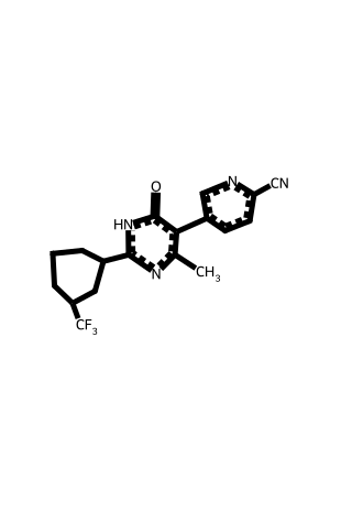 Cc1nc(C2CCCC(C(F)(F)F)C2)[nH]c(=O)c1-c1ccc(C#N)nc1